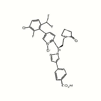 O=C(O)c1ccc(-c2cnn([C@H](CN3CCCC3=O)c3ccc(-c4c(C(F)F)ccc(Cl)c4F)c[n+]3[O-])c2)cc1